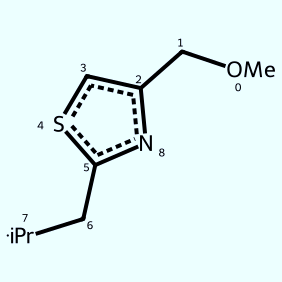 COCc1csc(C[C](C)C)n1